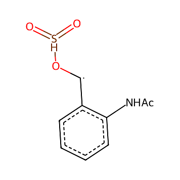 CC(=O)Nc1ccccc1[CH]O[SH](=O)=O